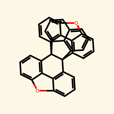 c1cc2c3c(cccc3c1)C13c4cccc5oc6cccc(c6c45)C21c1cccc2oc4cccc3c4c12